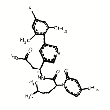 Cc1ccn(C(CC(C)C)C(=O)N[C@@H](CC(=O)O)c2cncc(-c3c(C)cc(F)cc3C)c2)c(=O)c1